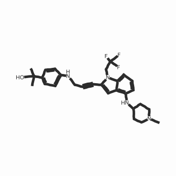 CN1CCC(Nc2cccc3c2cc(C#CCNc2ccc(C(C)(C)O)cc2)n3CC(F)(F)F)CC1